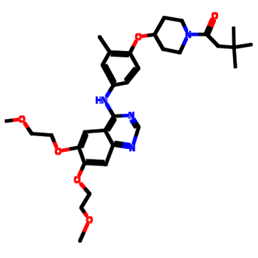 COCCOc1cc2ncnc(Nc3ccc(OC4CCN(C(=O)CC(C)(C)C)CC4)c(C)c3)c2cc1OCCOC